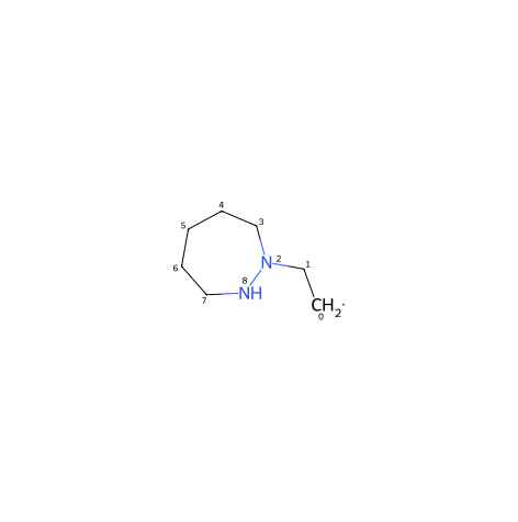 [CH2]CN1CCCCCN1